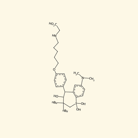 CCCCC1(CCCC)CS(O)(O)c2ccc(N(C)C)cc2C(c2ccc(OCCCCCNCC(=O)O)cc2)C1O